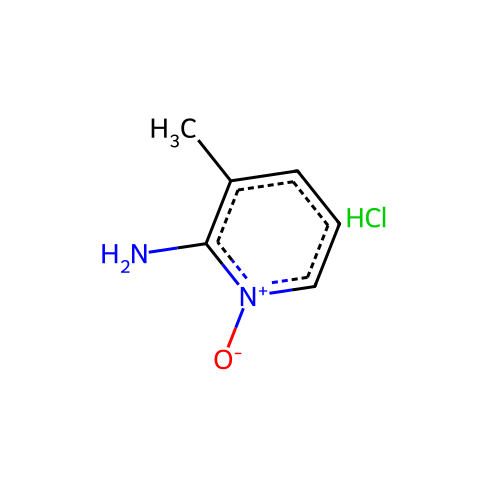 Cc1ccc[n+]([O-])c1N.Cl